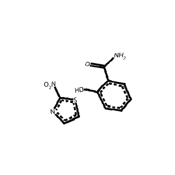 NC(=O)c1ccccc1O.O=[N+]([O-])c1nccs1